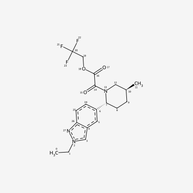 CCn1cc2cc([C@H]3CC[C@H](C)CN3C(=O)C(=O)OCC(F)(F)F)ccc2n1